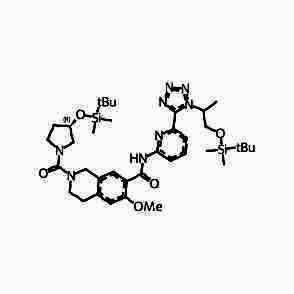 COc1cc2c(cc1C(=O)Nc1cccc(-c3nnnn3C(C)CO[Si](C)(C)C(C)(C)C)n1)CN(C(=O)N1CC[C@@H](O[Si](C)(C)C(C)(C)C)C1)CC2